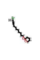 [Br][Mg][C]#CCCCCCCCCOC1CCCCO1